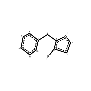 Fc1ccsc1Cc1[c]cccc1